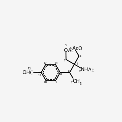 CC(=O)NC(COC(C)=O)(COC(C)=O)C(C)c1ccc(C=O)cc1